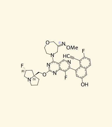 C#Cc1c(F)ccc2cc(O)cc(-c3ncc4c(N5CCOC/C(=N/OC)C5)nc(OC[C@@]56CCCN5C[C@H](F)C6)nc4c3F)c12